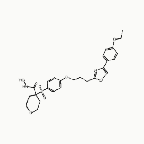 CCOc1ccc(-c2coc(CCCOc3ccc(S(=O)(=O)C4(C(=O)NO)CCOCC4)cc3)n2)cc1